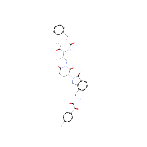 COC(=O)C(NC(=O)OCc1ccccc1)C(C)CN1C(=O)CCC(N2Cc3c(CNC(=O)C(=O)c4ccc(C(C)(C)C)cc4)cccc3C2=O)C1=O